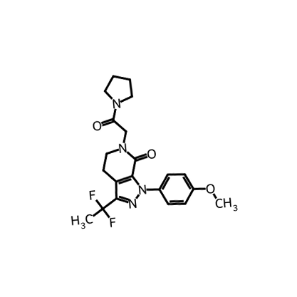 COc1ccc(-n2nc(C(C)(F)F)c3c2C(=O)N(CC(=O)N2CCCC2)CC3)cc1